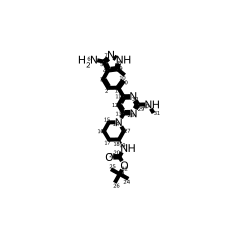 C=C(/C=C\c1c(N)n[nH]c1C)c1cc(N2CCC[C@@H](NC(=O)OC(C)(C)C)C2)nc(NC)n1